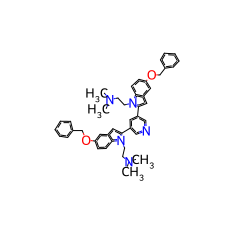 CN(C)CCn1c(-c2cncc(-c3cc4cc(OCc5ccccc5)ccc4n3CCN(C)C)c2)cc2cc(OCc3ccccc3)ccc21